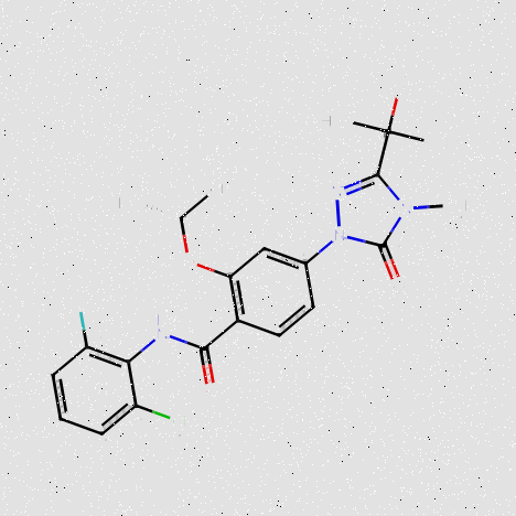 C[C@H](Oc1cc(-n2nc(C(C)(C)O)n(C)c2=O)ccc1C(=O)Nc1c(F)cccc1Cl)C(F)(F)F